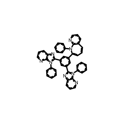 C1=Cc2cccnc2N(c2ccccc2)C(c2cc(-c3nc4cccnc4n3-c3ccccc3)cc(-c3nc4cccnc4n3-c3ccccc3)c2)=C1